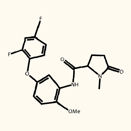 COc1ccc(Oc2ccc(F)cc2F)cc1NC(=O)C1CCC(=O)N1C